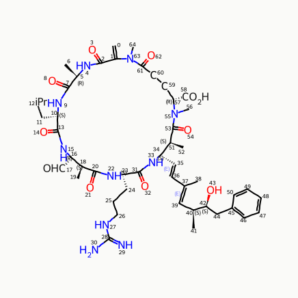 C=C1C(=O)N[C@H](C)C(=O)N[C@@H](CC(C)C)C(=O)N[C@@H](C=O)[C@H](C)C(=O)N[C@@H](CCCNC(=N)N)C(=O)N[C@@H](/C=C/C(C)=C/[C@H](C)[C@@H](O)Cc2ccccc2)[C@H](C)C(=O)N(C)[C@@H](C(=O)O)CCC(=O)N1C